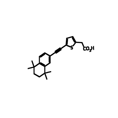 CC1(C)CCC(C)(C)c2cc(C#Cc3ccc(CC(=O)O)s3)ccc21